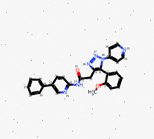 COc1ccccc1-c1c(CC(=O)Nc2ccc(-c3ccccc3)cn2)nnn1-c1ccncc1